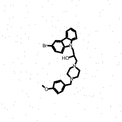 COc1ccc(CN2CCN(CC(O)Cn3c4ccccc4c4cc(Br)ccc43)CC2)cc1